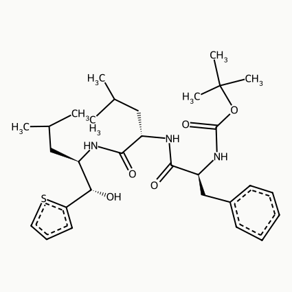 CC(C)C[C@H](NC(=O)[C@H](Cc1ccccc1)NC(=O)OC(C)(C)C)C(=O)N[C@H](CC(C)C)[C@H](O)c1cccs1